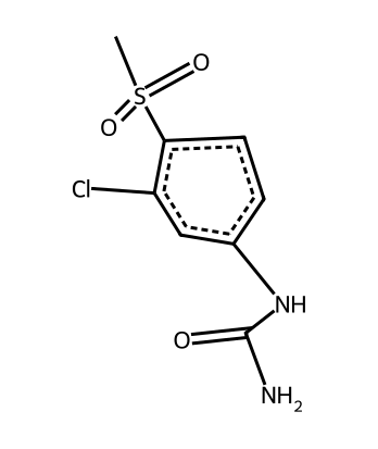 CS(=O)(=O)c1ccc(NC(N)=O)cc1Cl